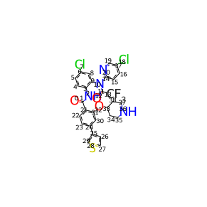 O=C(Nc1ccc(Cl)cc1N(C(=O)C(F)(F)F)c1ccc(Cl)cn1)c1ccc(-c2ccsc2)cc1OC1CCNCC1